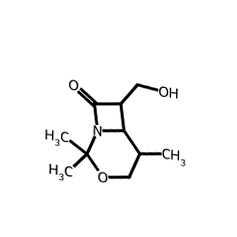 CC1COC(C)(C)N2C(=O)C(CO)C12